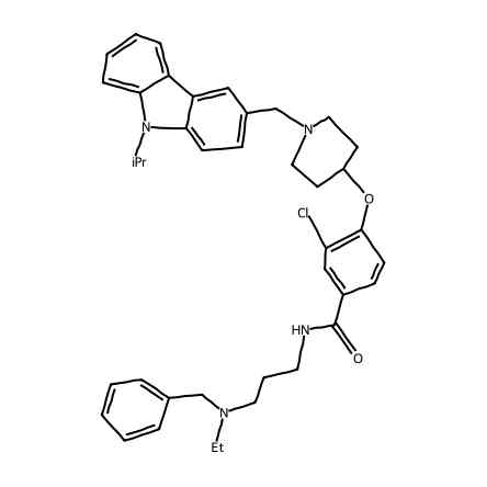 CCN(CCCNC(=O)c1ccc(OC2CCN(Cc3ccc4c(c3)c3ccccc3n4C(C)C)CC2)c(Cl)c1)Cc1ccccc1